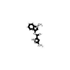 Cc1cc(C(=O)Oc2cn(C)c3ccccc23)[nH]n1